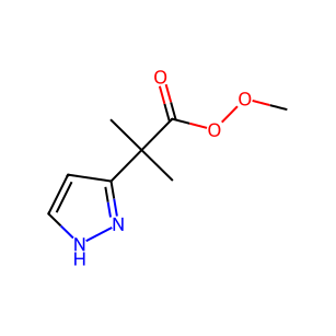 COOC(=O)C(C)(C)c1cc[nH]n1